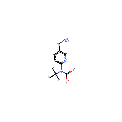 CC(C)(C)N(C(=O)O)c1ccc(CN)cn1